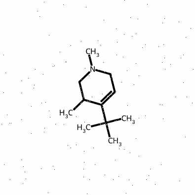 CC1CN(C)CC=C1C(C)(C)C